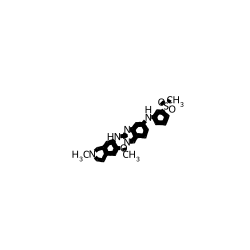 COc1cc2c(cc1Nc1ncc3ccc(Nc4cccc(S(C)(=O)=O)c4)cc3n1)CN(C)CC2